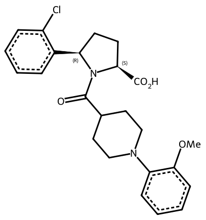 COc1ccccc1N1CCC(C(=O)N2[C@@H](c3ccccc3Cl)CC[C@H]2C(=O)O)CC1